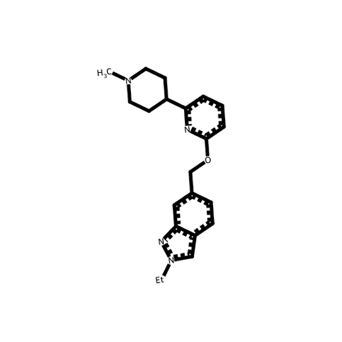 CCn1cc2ccc(COc3cccc(C4CCN(C)CC4)n3)cc2n1